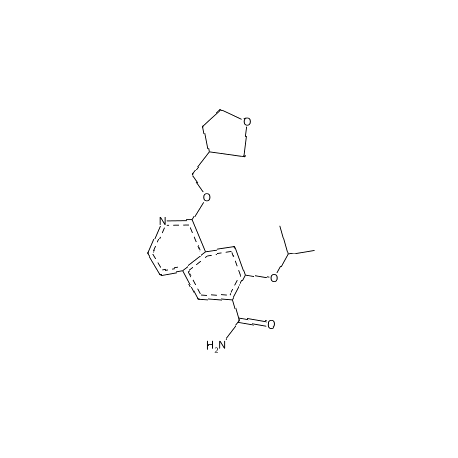 CC(C)Oc1cc2c(OCC3CCOC3)nccc2cc1C(N)=O